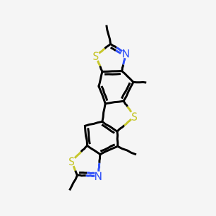 Cc1nc2c(C)c3sc4c(C)c5nc(C)sc5cc4c3cc2s1